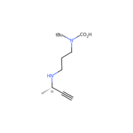 C#C[C@H](C)NCCCN(C(=O)O)C(C)(C)C